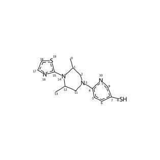 CC1CN(c2ccc(S)cn2)CC(C)N1c1nccs1